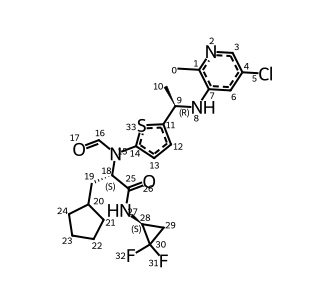 Cc1ncc(Cl)cc1N[C@H](C)c1ccc(N(C=O)[C@@H](CC2CCCC2)C(=O)N[C@H]2CC2(F)F)s1